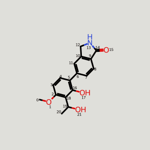 COc1ccc(-c2ccc3c(c2)CNC3=O)c(O)c1C(C)O